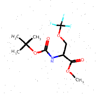 COC(=O)C(COC(F)(F)F)NC(=O)OC(C)(C)C